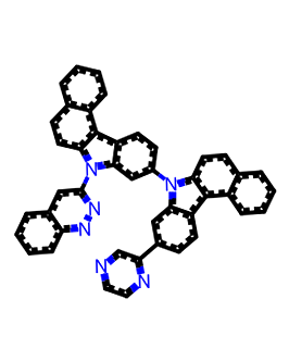 c1ccc2nnc(-n3c4cc(-n5c6cc(-c7cnccn7)ccc6c6c7ccccc7ccc65)ccc4c4c5ccccc5ccc43)cc2c1